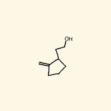 C=C1CCCC1CCO